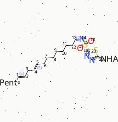 CCCCC/C=C/C/C=C/CCCCCCC/C=N\S(=O)(=O)c1nnc(NC(C)=O)s1